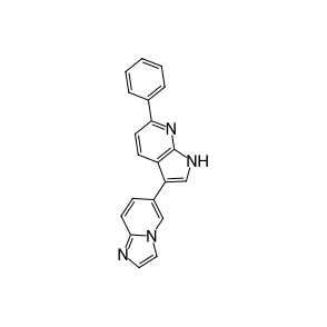 c1ccc(-c2ccc3c(-c4ccc5nccn5c4)c[nH]c3n2)cc1